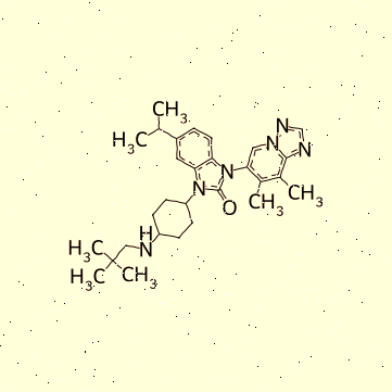 Cc1c(-n2c(=O)n(C3CCC(NCC(C)(C)C)CC3)c3cc(C(C)C)ccc32)cn2ncnc2c1C